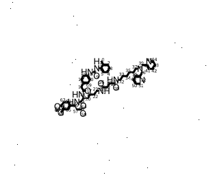 Cc1ccccc1NC(=O)Nc1ccc(CC(=O)N[C@@H](CCCCNC(=O)CCC(=O)NCCCCCCN(Cc2ccccn2)Cc2ccccn2)C(=O)N[C@@H](CC=O)c2ccc3c(c2)OCO3)cc1